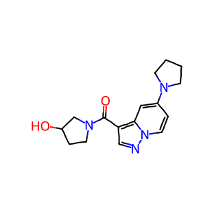 O=C(c1cnn2ccc(N3CCCC3)cc12)N1CCC(O)C1